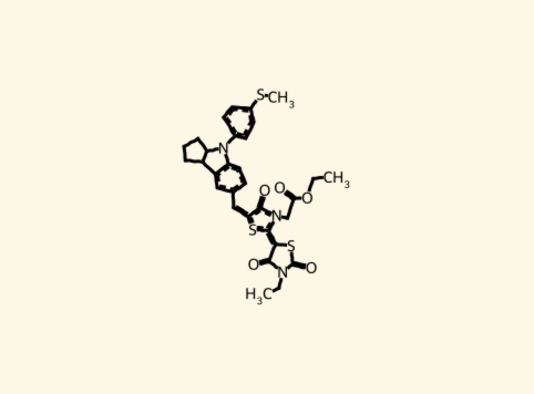 CCOC(=O)Cn1c(=O)/c(=C\c2ccc3c(c2)C2CCCC2N3c2ccc(SC)cc2)s/c1=C1/SC(=O)N(CC)C1=O